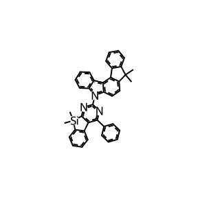 CC1(C)c2ccccc2-c2c1ccc1c2c2ccccc2n1-c1nc(-c2ccccc2)c2c(n1)[Si](C)(C)c1ccccc1-2